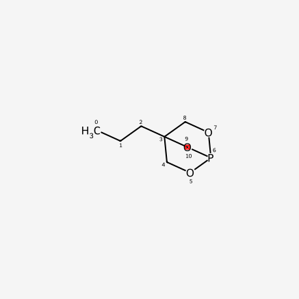 CCCC12COP(OC1)OC2